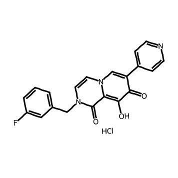 Cl.O=c1c(-c2ccncc2)cn2ccn(Cc3cccc(F)c3)c(=O)c2c1O